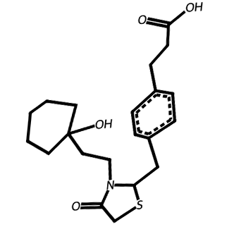 O=C(O)CCc1ccc(CC2SCC(=O)N2CCC2(O)CCCCC2)cc1